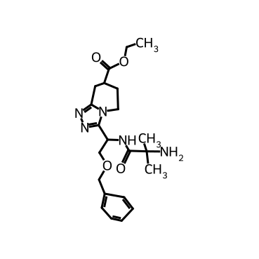 CCOC(=O)C1CCn2c(nnc2C(COCc2ccccc2)NC(=O)C(C)(C)N)C1